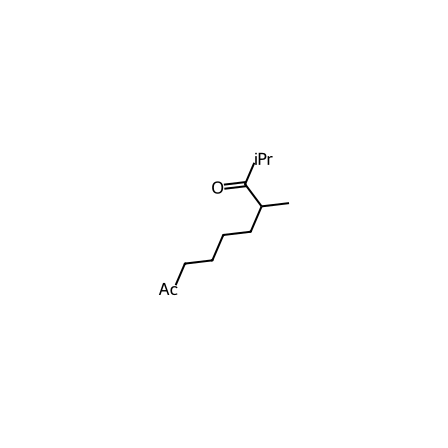 CC(=O)CCCCC(C)C(=O)C(C)C